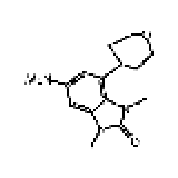 CNc1cc(C2CCOCC2)c2c(c1)n(C)c(=O)n2C